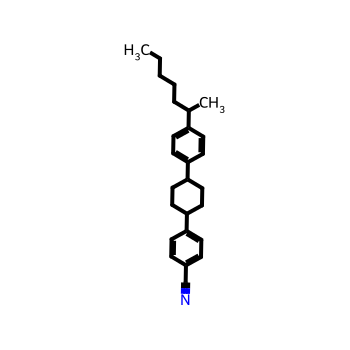 CCCCCC(C)c1ccc(C2CCC(c3ccc(C#N)cc3)CC2)cc1